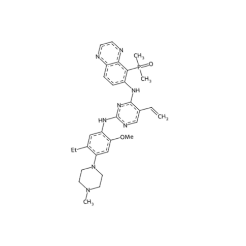 C=Cc1cnc(Nc2cc(CC)c(N3CCN(C)CC3)cc2OC)nc1Nc1ccc2nccnc2c1P(C)(C)=O